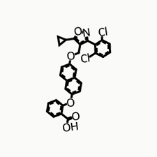 O=C(O)c1ccccc1Oc1ccc2cc(OCc3c(-c4c(Cl)cccc4Cl)noc3C3CC3)ccc2c1